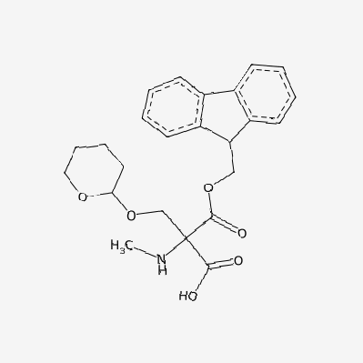 CNC(COC1CCCCO1)(C(=O)O)C(=O)OCC1c2ccccc2-c2ccccc21